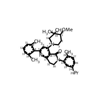 COC1CCN(c2cc(-c3c(C)cccc3C)nc3c2C(=O)N(c2cc(C(C)C)ccc2C)CC3)CC1(C)C